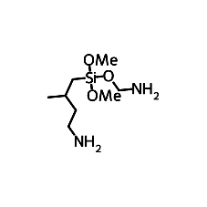 CO[Si](CC(C)CCN)(OC)OCN